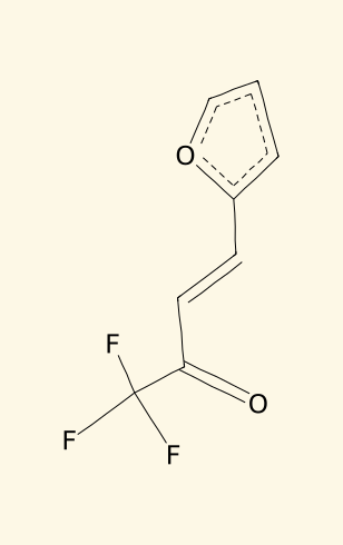 O=C(C=Cc1ccco1)C(F)(F)F